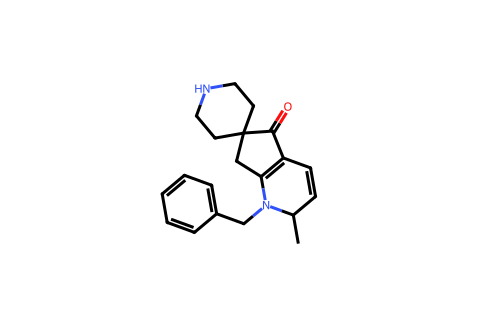 CC1C=CC2=C(CC3(CCNCC3)C2=O)N1Cc1ccccc1